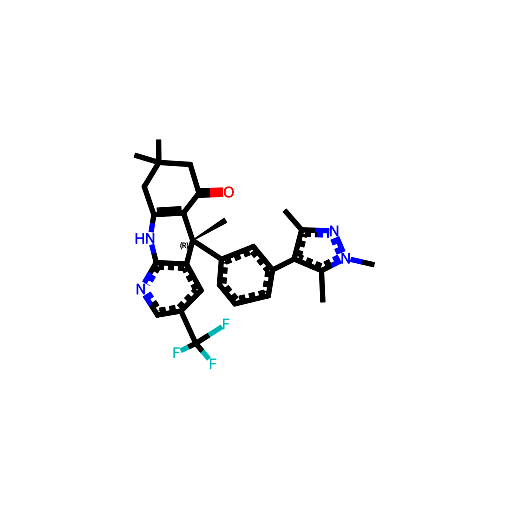 Cc1nn(C)c(C)c1-c1cccc([C@@]2(C)C3=C(CC(C)(C)CC3=O)Nc3ncc(C(F)(F)F)cc32)c1